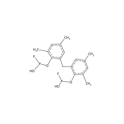 Cc1cc(C)c(OP(O)F)c(Cc2cc(C)cc(C)c2OP(O)F)c1